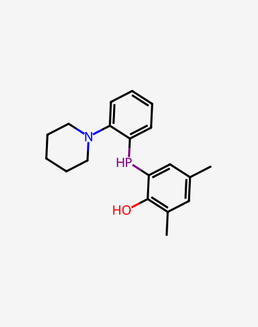 Cc1cc(C)c(O)c(Pc2ccccc2N2CCCCC2)c1